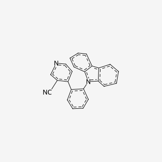 N#Cc1cnccc1-c1ccccc1-n1c2ccccc2c2ccccc21